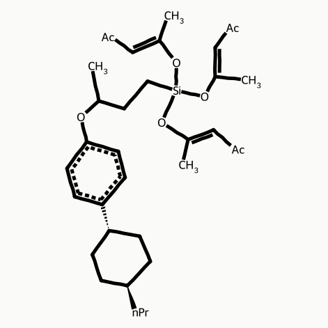 CCC[C@H]1CC[C@H](c2ccc(OC(C)CC[Si](OC(C)=CC(C)=O)(OC(C)=CC(C)=O)OC(C)=CC(C)=O)cc2)CC1